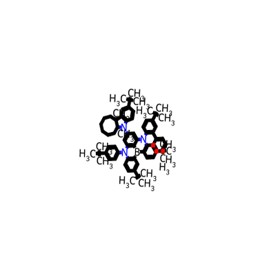 CC(C)(C)c1ccc(N2c3ccc(C(C)(C)C)cc3B3c4ccc(C(C)(C)C)cc4N(c4ccc(C(C)(C)C)cc4-c4ccccc4)c4cc(N5c6ccc(C(C)(C)C)cc6C6(C)CCCCCCC56C)cc2c43)cc1